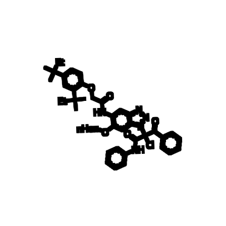 CCCCCCOc1cc2c(cc1NC(=O)COc1ccc(C(C)(C)CC)cc1C(C)(C)CC)nnn2C(Cl)(C(=O)Nc1ccccc1)C(=O)c1ccccc1